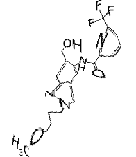 COCCCn1cc2cc(NC(=O)c3cccc(C(F)(F)F)n3)c(CO)cc2n1